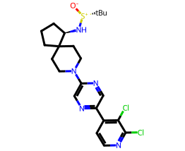 CC(C)(C)[S@@+]([O-])N[C@@H]1CCCC12CCN(c1cnc(-c3ccnc(Cl)c3Cl)cn1)CC2